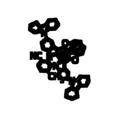 Cc1ccc(C#N)c(-n2c3ccc(-n4c5ccccc5c5ccccc54)cc3c3c4oc5ccccc5c4ccc32)c1-n1c2ccc(-n3c4ccccc4c4ccccc43)cc2c2c3oc4ccccc4c3ccc21